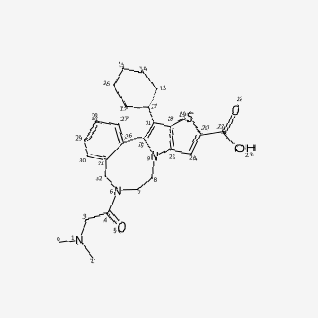 CN(C)CC(=O)N1CCn2c(c(C3CCCCC3)c3sc(C(=O)O)cc32)-c2ccccc2C1